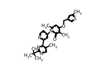 Cc1cc(COc2cc(C)n(-c3ccnc(-c4nc(C(C)(C)C)ncc4C)c3)c(=O)c2C)cs1